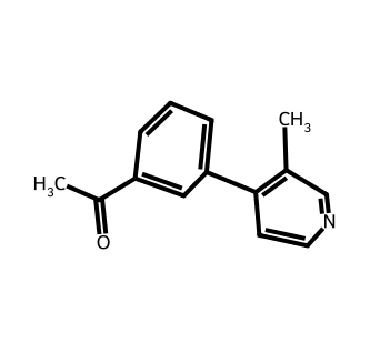 CC(=O)c1cccc(-c2ccncc2C)c1